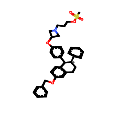 CS(=O)(=O)OCCCN1CC(Oc2ccc(C3c4ccc(OCc5ccccc5)cc4CC[C@@H]3c3ccccc3)cc2)C1